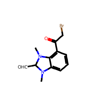 CN1c2cccc(C(=O)CBr)c2N(C)C1C=O